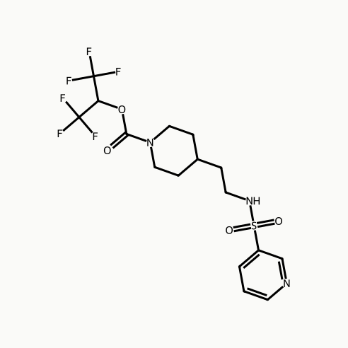 O=C(OC(C(F)(F)F)C(F)(F)F)N1CCC(CCNS(=O)(=O)c2cccnc2)CC1